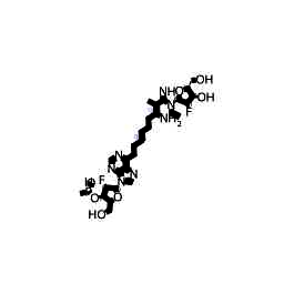 C=CN(C(=N)/C(C)=C(\N)CC/C=C/CCc1ncnc2c1ncn2[C@@H]1OC(CO)[C@@H](O[PH](C)=O)[C@H]1F)[C@@H]1O[C@H](CO)[C@@H](O)[C@H]1F